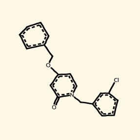 O=c1cc(OCc2ccccc2)ccn1Cc1cccc(Cl)c1